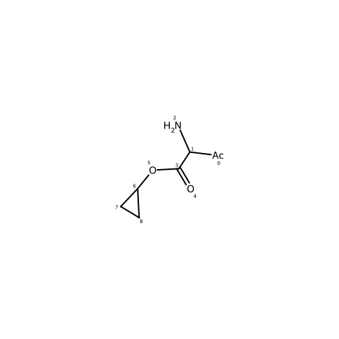 CC(=O)C(N)C(=O)OC1CC1